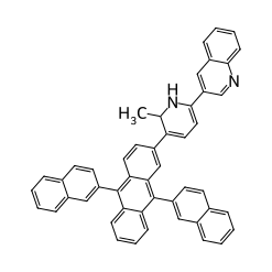 CC1NC(c2cnc3ccccc3c2)=CC=C1c1ccc2c(-c3ccc4ccccc4c3)c3ccccc3c(-c3ccc4ccccc4c3)c2c1